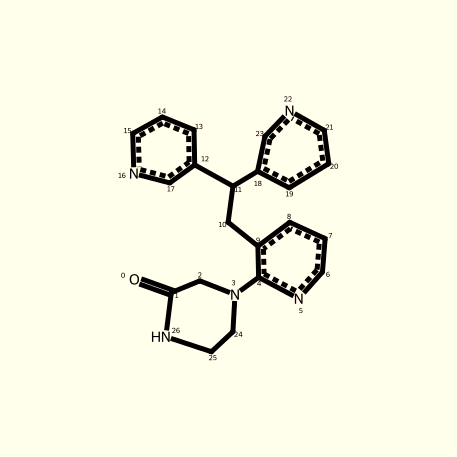 O=C1CN(c2ncccc2CC(c2cccnc2)c2cccnc2)CCN1